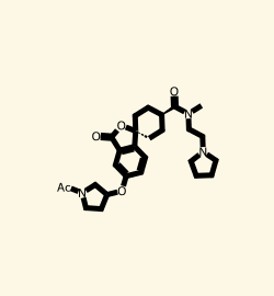 CC(=O)N1CCC(Oc2ccc3c(c2)C(=O)O[C@]32CC[C@H](C(=O)N(C)CCN3CCCC3)CC2)C1